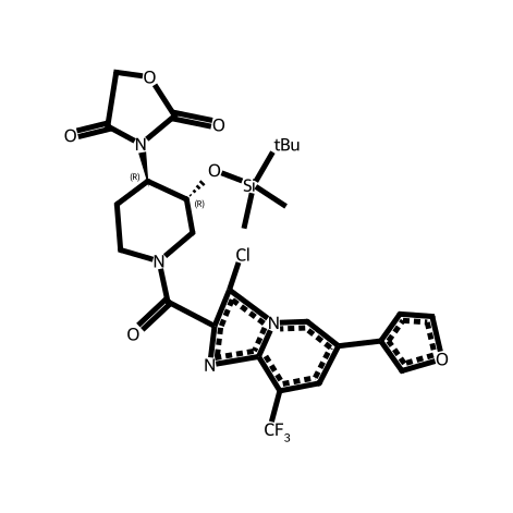 CC(C)(C)[Si](C)(C)O[C@@H]1CN(C(=O)c2nc3c(C(F)(F)F)cc(-c4ccoc4)cn3c2Cl)CC[C@H]1N1C(=O)COC1=O